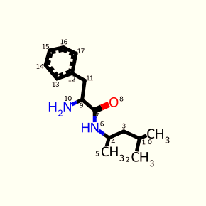 CC(C)CC(C)NC(=O)C(N)Cc1ccccc1